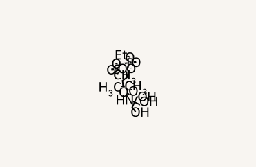 CCOP(=O)(COS(C)(=O)=O)OCCCC(C)(C)OC(=O)NC(CO)(CO)CO